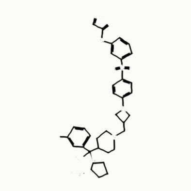 C=CC(=O)Nc1cccc(S(=O)(=O)c2ccc(N3CC(CN4CCC(C(C#N)(c5cccc(F)c5)[C@H]5CCC[C@@H]5NC(C)=O)CC4)C3)cc2)c1